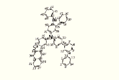 c1ccc(-c2cccc(-c3ccc(N(c4ccc5sc6cc7ccccc7cc6c5c4)c4ccc5c(c4)c4ccccc4n5-c4ccccc4)cc3)c2)cc1